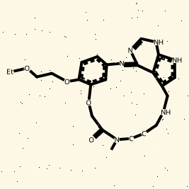 CCOCCOc1ccc2cc1OCC(=O)N(C)CCCNCc1c[nH]c3c1/C(=N\2)N=CN3